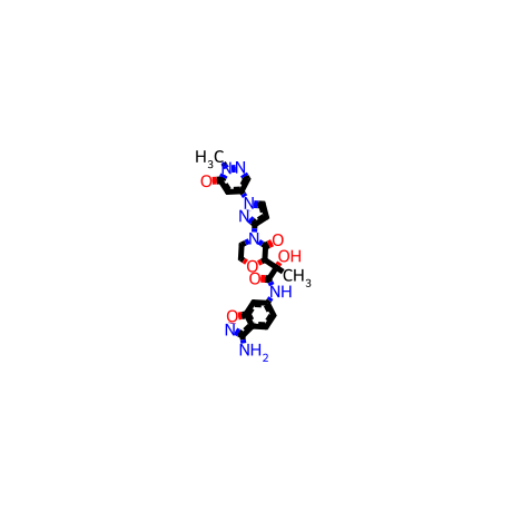 Cn1ncc(-n2ccc(N3CCOC(C(C)(O)C(=O)Nc4ccc5c(N)noc5c4)C3=O)n2)cc1=O